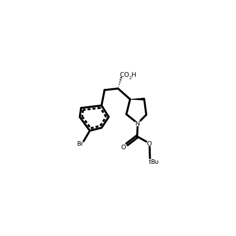 CC(C)(C)OC(=O)N1CC[C@H]([C@H](Cc2ccc(Br)cc2)C(=O)O)C1